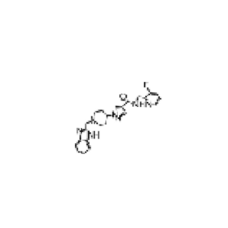 O=C(NCc1ncccc1F)c1cnn(C2CCN(Cc3nc4ccccc4[nH]3)CC2)c1